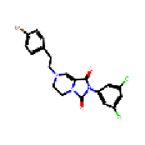 O=C1C2=CN(CCc3ccc(Br)cc3)CCN2C(=O)N1c1cc(Cl)cc(Cl)c1